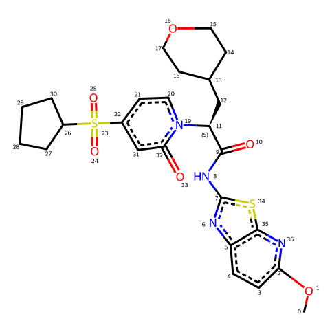 COc1ccc2nc(NC(=O)[C@H](CC3CCOCC3)n3ccc(S(=O)(=O)C4CCCC4)cc3=O)sc2n1